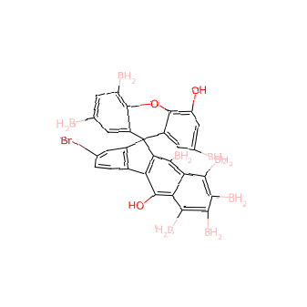 Bc1cc(B)c2c(c1)C1(c3cc(Br)ccc3-c3c1c(B)c1c(B)c(B)c(B)c(B)c1c3O)c1cc(B)cc(O)c1O2